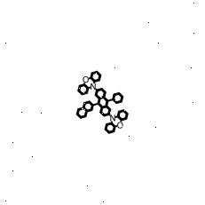 c1ccc(-c2c3ccc(N4c5ccccc5Oc5ccccc54)cc3c(-c3ccc4ccccc4c3)c3ccc(N4c5ccccc5Oc5ccccc54)cc23)cc1